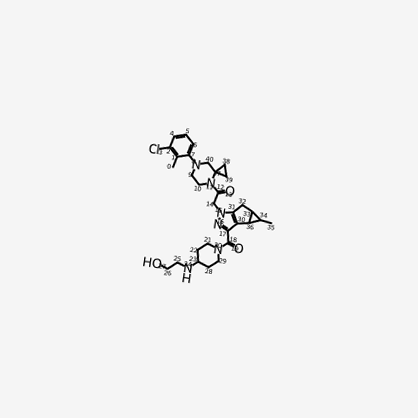 Cc1c(Cl)cccc1N1CCN(C(=O)Cn2nc(C(=O)N3CCC(NCCO)CC3)c3c2CC2C(C)C32)C2(CC2)C1